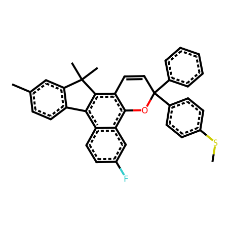 CSc1ccc(C2(c3ccccc3)C=Cc3c4c(c5ccc(F)cc5c3O2)-c2ccc(C)cc2C4(C)C)cc1